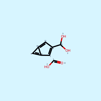 O=CO.OC(O)c1cc2cc-2c1